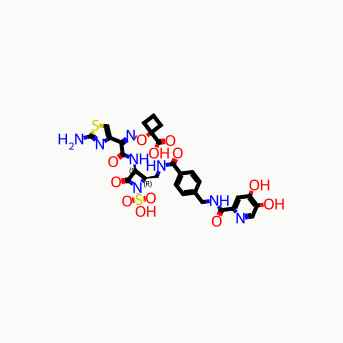 Nc1nc(C(=NOC2(C(=O)O)CCC2)C(=O)N[C@@H]2C(=O)N(S(=O)(=O)O)[C@@H]2CNC(=O)c2ccc(CNC(=O)c3cc(O)c(O)cn3)cc2)cs1